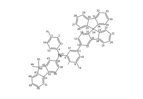 Cc1ccc(N(c2cc(C)cc(-c3ccc4c(c3)-c3ccccc3C43c4ccccc4-c4ccccc43)c2)c2ccc3c(c2)C(C)(C)c2ccccc2-3)cc1